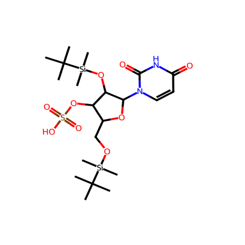 CC(C)(C)[Si](C)(C)OCC1OC(n2ccc(=O)[nH]c2=O)C(O[Si](C)(C)C(C)(C)C)C1OS(=O)(=O)O